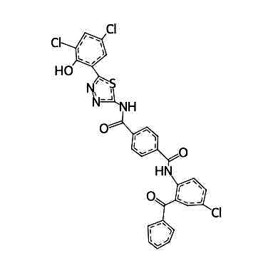 O=C(Nc1nnc(-c2cc(Cl)cc(Cl)c2O)s1)c1ccc(C(=O)Nc2ccc(Cl)cc2C(=O)c2ccccc2)cc1